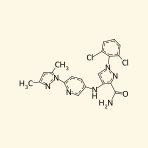 Cc1cc(C)n(-c2ccc(Nc3cn(-c4c(Cl)cccc4Cl)nc3C(N)=O)cn2)n1